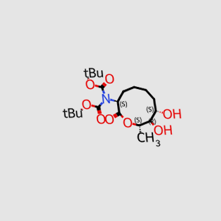 C[C@@H]1OC(=O)[C@@H](N(C(=O)OC(C)(C)C)C(=O)OC(C)(C)C)CCCC[C@H](O)[C@H]1O